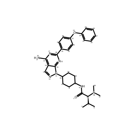 CC(C)[C@@H](C(=O)NC1CCC(n2ncc3c(N)nc(-c4ccc(Oc5ccccc5)cc4)nc32)CC1)N(C)C